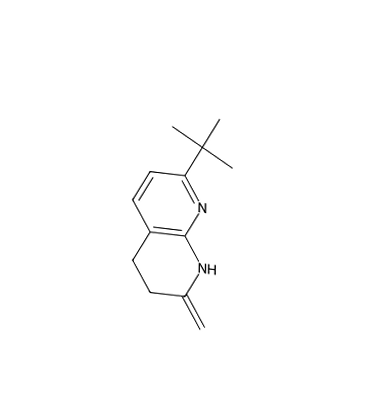 C=C1CCc2ccc(C(C)(C)C)nc2N1